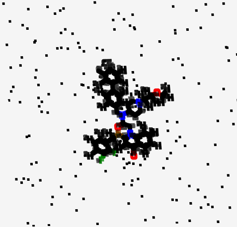 [2H]c1c([2H])c(F)c(F)c(C([2H])([2H])Sc2c([2H])c(=O)c3c([2H])c([2H])c([2H])c([2H])c3n2CC(=O)N(Cc2c([2H])c([2H])c(-c3c([2H])c([2H])c(C(F)(F)F)c(C)c3[2H])c([2H])c2[2H])C2CCN(C([2H])([2H])C([2H])([2H])OC([2H])([2H])[2H])CC2)c1[2H]